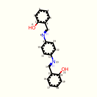 Oc1ccccc1/C=N/c1ccc(/N=C/c2ccccc2O)cc1